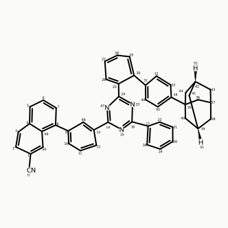 N#Cc1ccc2cccc(-c3cccc(-c4nc(-c5ccccc5)nc(-c5ccccc5-c5ccc(C67CC8C[C@H](C6)C[C@@H](C8)C7)cc5)n4)c3)c2c1